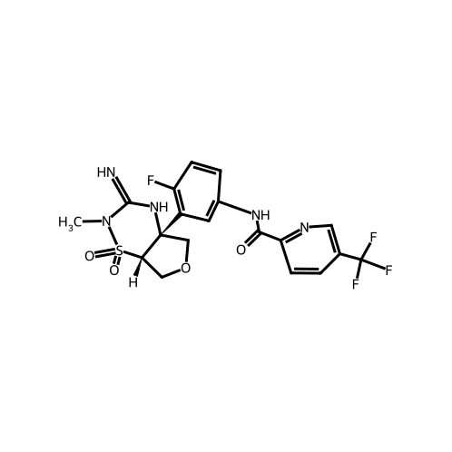 CN1C(=N)N[C@]2(c3cc(NC(=O)c4ccc(C(F)(F)F)cn4)ccc3F)COC[C@@H]2S1(=O)=O